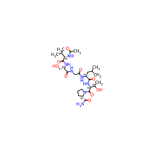 CC(=O)N[C@H](C(=O)N[C@@H](CO)C(=O)NCC(=O)N[C@@H](CC(C)C)C(=O)N[C@H](C(=O)N1CCC[C@H]1C(N)=O)[C@@H](C)O)C(C)C